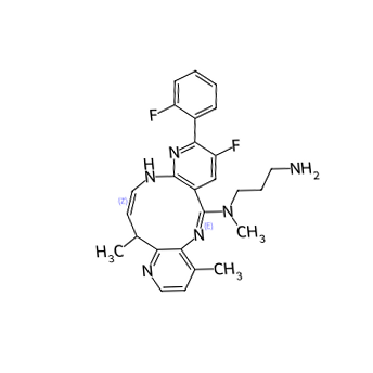 Cc1ccnc2c1/N=C(/N(C)CCCN)c1cc(F)c(-c3ccccc3F)nc1N/C=C\C2C